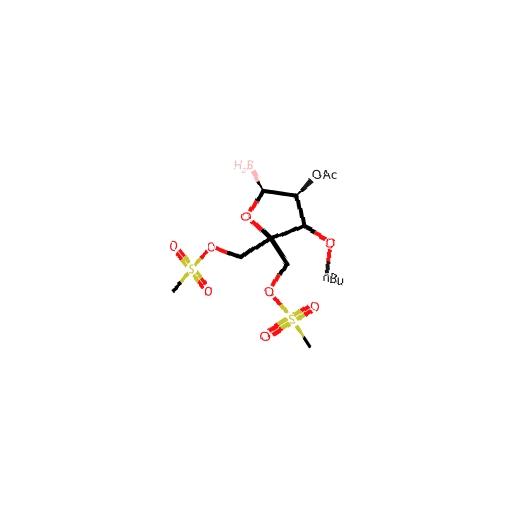 B[C@@H]1OC(COS(C)(=O)=O)(COS(C)(=O)=O)C(OCCCC)[C@@H]1OC(C)=O